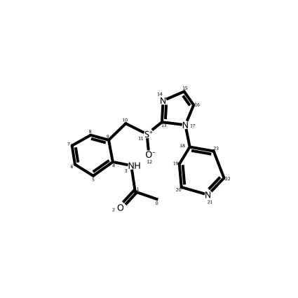 CC(=O)Nc1ccccc1C[S+]([O-])c1nccn1-c1ccncc1